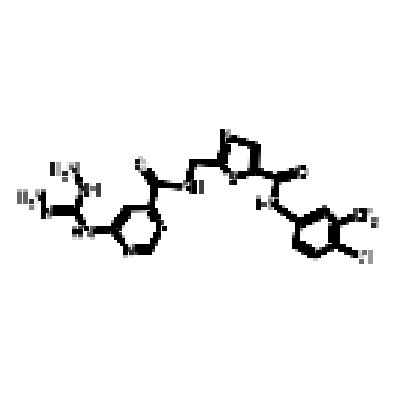 N/N=C(\NN)Nc1cc(C(=O)NCc2ncc(C(=O)Nc3ccc(Cl)c(C(F)(F)F)c3)s2)ncn1